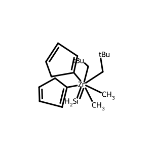 CC(C)(C)[CH2][Zr]([CH3])([CH3])(=[SiH2])([CH2]C(C)(C)C)([C]1=CC=CC1)[C]1=CC=CC1